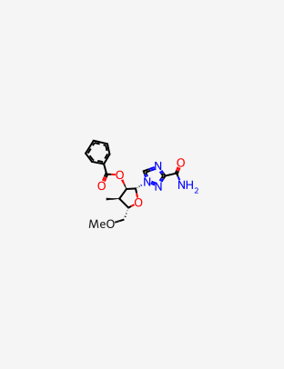 COC[C@H]1O[C@@H](n2cnc(C(N)=O)n2)[C@H](OC(=O)c2ccccc2)[C@@H]1C